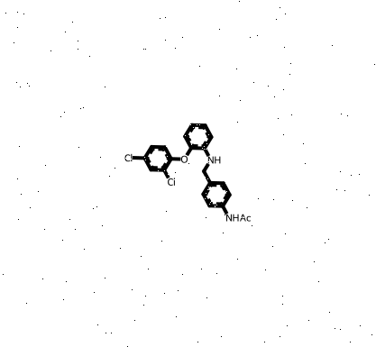 CC(=O)Nc1ccc(CNc2ccccc2Oc2ccc(Cl)cc2Cl)cc1